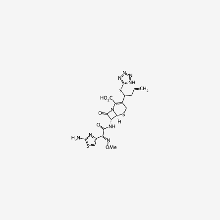 C=CCC(Sc1nnn[nH]1)C1=C(C(=O)O)N2C(=O)[C@@H](NC(=O)C(=NOC)c3csc(N)n3)[C@@H]2SC1